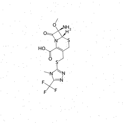 CO[C@@]1(N)C(=O)N2C(C(=O)O)=C(CSc3nnc(C(F)(F)F)n3C)CS[C@H]21